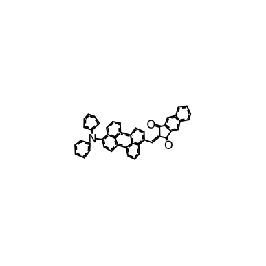 O=C1C(=Cc2ccc3c4cccc5c(N(c6ccccc6)c6ccccc6)ccc(c6cccc2c36)c54)C(=O)c2cc3ccccc3cc21